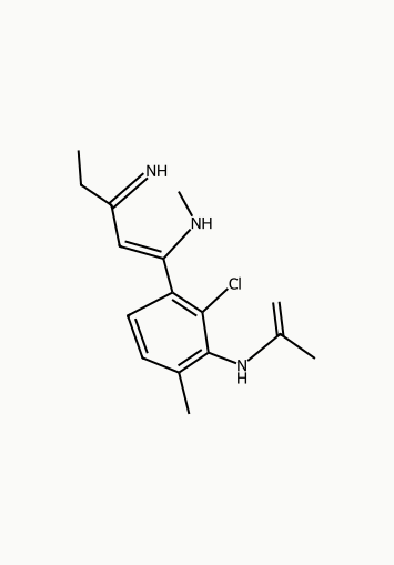 C=C(C)Nc1c(C)ccc(/C(=C/C(=N)CC)NC)c1Cl